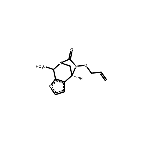 C=CCON1C(=O)N2C[C@@H]1c1ccsc1C2C(=O)O